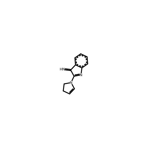 N=C1C(N2C=CCC2)=Nc2ccccc21